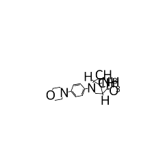 CC1(C)C[C@H]2CN(c3ccc(N4CCOCC4)cc3)[C@@H]1CNC2=O